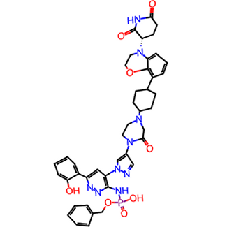 O=C1CC[C@H](N2CCOc3c(C4CCC(N5CCN(c6cnn(-c7cc(-c8ccccc8O)nnc7NP(=O)(O)OCc7ccccc7)c6)C(=O)C5)CC4)cccc32)C(=O)N1